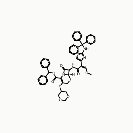 CO/N=C(\C(=O)NC1C(=O)N2C(C(=O)OC(c3ccccc3)c3ccccc3)=C(SC3COCOC3)CS[C@@H]12)c1csc(NC(c2ccccc2)(c2ccccc2)c2ccccc2)n1